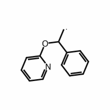 [CH2]C(Oc1ccccn1)c1ccccc1